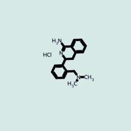 CN(C)Cc1ccccc1C1Cc2ccccc2C(N)=N1.Cl